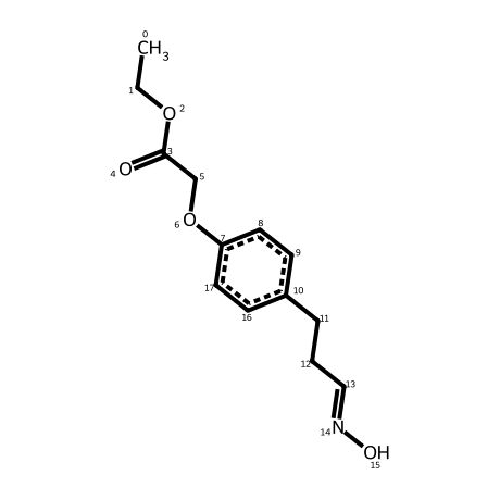 CCOC(=O)COc1ccc(CCC=NO)cc1